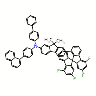 CC1(C)c2cc(-c3cccc4c3C3(c5ccccc5-c5c(F)cc(F)cc53)c3cc(F)cc(F)c3-4)ccc2-c2ccc(N(c3ccc(-c4ccccc4)cc3)c3ccc(-c4cccc5ccccc45)cc3)cc21